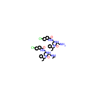 CCC(CN1CC[C@@H](CNC(=O)c2ccc3cc(Cl)ccc3c2)N[C@@H](CCN)C1=O)c1ccccc1.CCC(CN1CC[C@@H](CNC(=O)c2ccc3cc(Cl)ccc3c2)N[C@@H](CCNC(C)C)C1=O)c1ccccc1